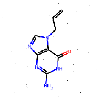 C=CCn1cnc2nc(N)[nH]c(=O)c21